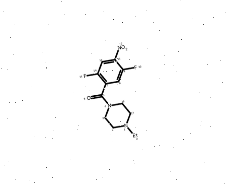 CCN1CCN(C(=O)c2cc(F)c([N+](=O)[O-])cc2F)CC1